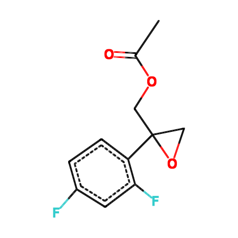 CC(=O)OCC1(c2ccc(F)cc2F)CO1